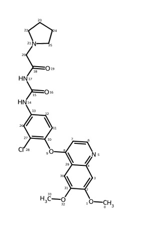 COc1cc2nccc(Oc3ccc(NC(=O)NC(=O)CN4CCCC4)cc3Cl)c2cc1OC